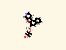 CC(C)(O)C(C)(C)OBc1cc2ccccc2c2c1oc1cnccc12